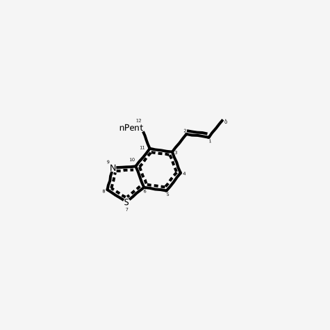 [CH2]C=Cc1ccc2scnc2c1CCCCC